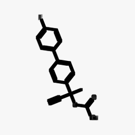 C#CC(C)(OC(=O)C(C)(C)C)c1ccc(-c2ccc(F)cc2)cc1